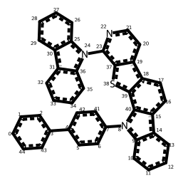 c1ccc(-c2ccc(-n3c4ccccc4c4ccc5c6ccnc(-n7c8ccccc8c8ccccc87)c6sc5c43)cc2)cc1